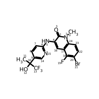 Cn1c(=O)c(Nc2ccc(C(C)(O)C(F)(F)F)cn2)cc2c(F)c(Br)ccc21